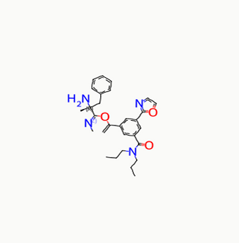 C=C(O/C(=N\C)[C@](C)(N)Cc1ccccc1)c1cc(C(=O)N(CCC)CCC)cc(-c2ncco2)c1